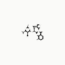 N#Cc1c(NC(c2nc3c(Cl)cccc3c(=O)n2-c2cc[nH]n2)C2CC2)nc(N)nc1C(F)F